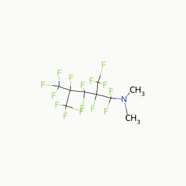 CN(C)C(F)(F)C(F)(C(F)(F)F)C(F)(F)C(F)(C(F)(F)F)C(F)(F)F